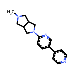 CN1CC2CN(c3ccc(-c4ccncc4)cn3)CC2C1